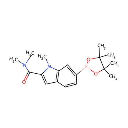 CN(C)C(=O)c1cc2ccc(B3OC(C)(C)C(C)(C)O3)cc2n1C